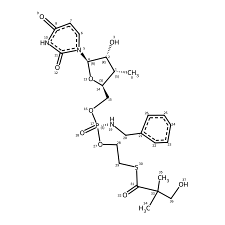 C[C@H]1[C@@H](O)[C@H](n2ccc(=O)[nH]c2=O)O[C@@H]1CO[P@@](=O)(NCc1ccccc1)OCCSC(=O)C(C)(C)CO